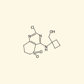 O=S1(=O)CCCc2nc(Cl)nc(NC3(CO)CCC3)c21